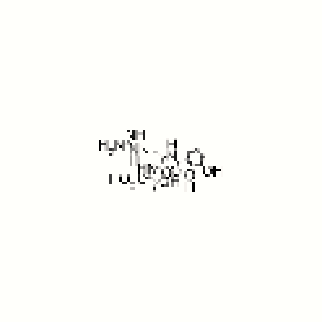 CC(O)C(NC(=O)[C@H](CCCNC(=N)N)NC(=O)c1cccc(O)c1O)C(=O)O